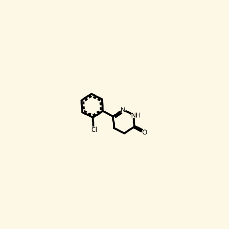 O=C1CCC(c2ccccc2Cl)=NN1